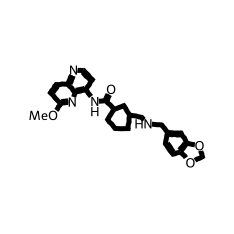 COc1ccc2nccc(NC(=O)C3CCCC(CNCc4ccc5c(c4)OCO5)C3)c2n1